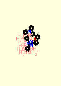 Bc1c(B)c(B)c(-c2nc(-c3c(B)c(B)c(B)c(B)c3B)nc(-c3cccc4c3oc3c(-c5ccc6c(c5)c5ccccc5n6-c5ccccc5)cccc34)n2)c(B)c1B